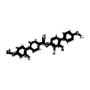 CCOc1ccc(-c2ccc(OC(=O)C3CCC(c4ccc(OCC)cc4F)CC3)c(F)c2F)cc1